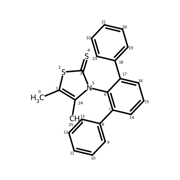 Cc1sc(=S)n(-c2c(-c3ccccc3)cccc2-c2ccccc2)c1C